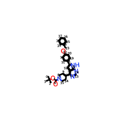 CC(C)(C)OC(=O)N1CC=C(c2ncnc3[nH]c(-c4ccc(OCc5ccccc5)cc4)cc23)CC1